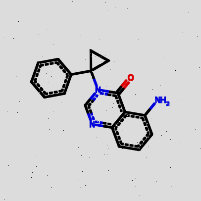 Nc1cccc2ncn(C3(c4ccccc4)CC3)c(=O)c12